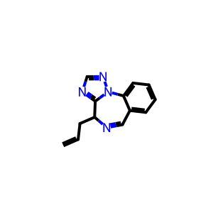 C=CCC1N=Cc2ccccc2-n2ncnc21